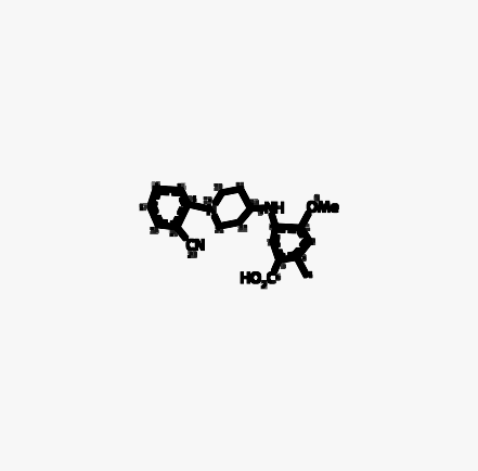 COc1cc(C)c(C(=O)O)cc1NC1CCN(c2ccccc2C#N)CC1